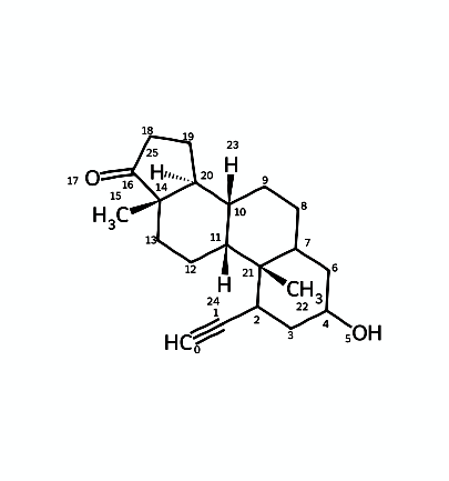 C#CC1CC(O)CC2CC[C@@H]3[C@@H](CC[C@]4(C)C(=O)CC[C@@H]34)[C@@]12C